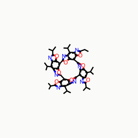 CCc1nc2c(C(C)C)c3nc4oc3c(c2o1)-c1nc2c(c3nc(C(C)C)oc3c(C(C)C)c2o1)-c1nc2c(C(C)C)c3nc(C(C)C)oc3c(c2o1)-c1nc2c(C(C)C)c3nc(C(C)C)oc3c-4c2o1